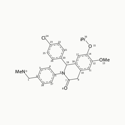 CNCc1ccc(N2C(=O)Cc3cc(OC)c(OC(C)C)cc3C2c2ccc(Cl)cc2)cc1